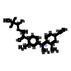 CC(C)(O)C(F)CNC(=O)c1cnc(/C(N)=C2\N=CC(C#N)C=C2N)cc1N